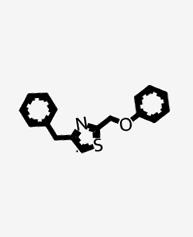 [c]1sc(COc2ccccc2)nc1Cc1ccccc1